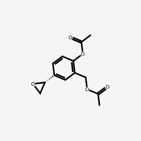 CC(=O)OCc1cc([C@@H]2CO2)ccc1OC(C)=O